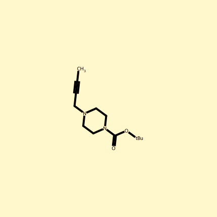 CC#CCN1CCN(C(=O)OC(C)(C)C)CC1